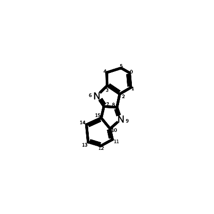 C1=CC2=C(CC1)N=C1C2=Nc2ccccc21